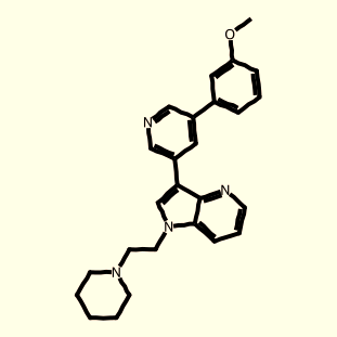 COc1cccc(-c2cncc(-c3cn(CCN4CCCCC4)c4cccnc34)c2)c1